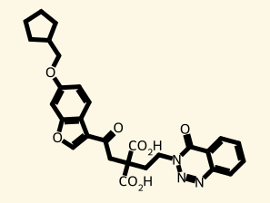 O=C(CC(CCn1nnc2ccccc2c1=O)(C(=O)O)C(=O)O)c1coc2cc(OCC3CCCC3)ccc12